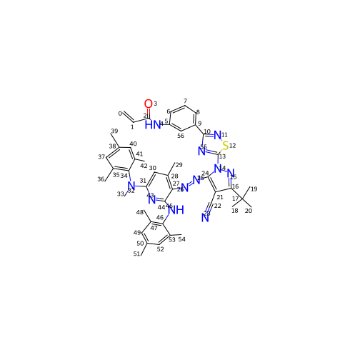 C=CC(=O)Nc1cccc(-c2nsc(-n3nc(C(C)(C)C)c(C#N)c3N=Nc3c(C)cc(N(C)c4c(C)cc(C)cc4C)nc3Nc3c(C)cc(C)cc3C)n2)c1